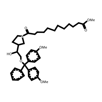 COC(=O)CCCCCCCCCCC(=O)N1CCC(C(O)COC(c2ccccc2)(c2ccc(OC)cc2)c2ccc(OC)cc2)C1